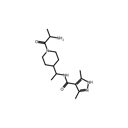 Cc1n[nH]c(C)c1C(=O)NC(C)C1CCN(C(=O)C(C)N)CC1